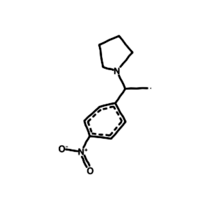 [CH2]C(c1ccc([N+](=O)[O-])cc1)N1CCCC1